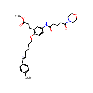 COc1ccc(/C=C/CCCCOc2ccc(NC(=O)CCCC(=O)N3CCOCC3)cc2CCC(=O)OC(C)(C)C)cc1